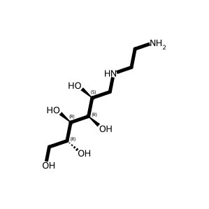 NCCNC[C@H](O)[C@@H](O)[C@H](O)[C@H](O)CO